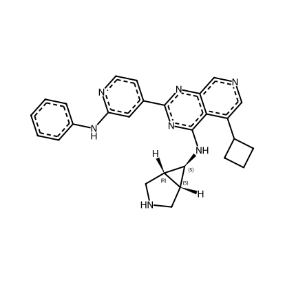 c1ccc(Nc2cc(-c3nc(N[C@H]4[C@@H]5CNC[C@@H]54)c4c(C5CCC5)cncc4n3)ccn2)cc1